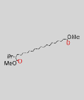 COC(=O)CCCCCCCCCCCCCCCCCC(C(=O)OC)C(C)C